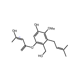 C=C(/C=C(\C)O)Oc1cc(O)c(OC)c(CC=C(C)C)c1CO